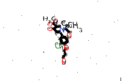 COC(=O)c1cn2c(cc1=O)-c1cc(Cl)c(OCCC=O)cc1OC[C@H]2C(C)C